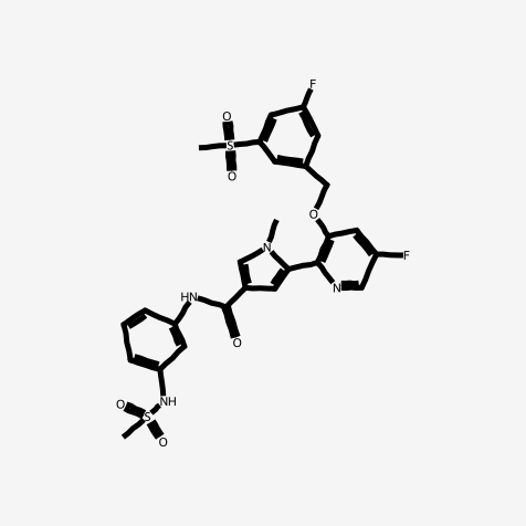 Cn1cc(C(=O)Nc2cccc(NS(C)(=O)=O)c2)cc1-c1ncc(F)cc1OCc1cc(F)cc(S(C)(=O)=O)c1